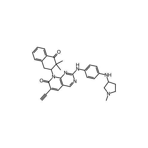 C#Cc1cc2cnc(Nc3ccc(NC4CCN(C)C4)cc3)nc2n(C2Cc3ccccc3C(=O)C2(C)C)c1=O